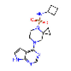 O=S(=O)(NC1CCC1)N1CCN(c2ncnc3[nH]ccc23)CC12CC2